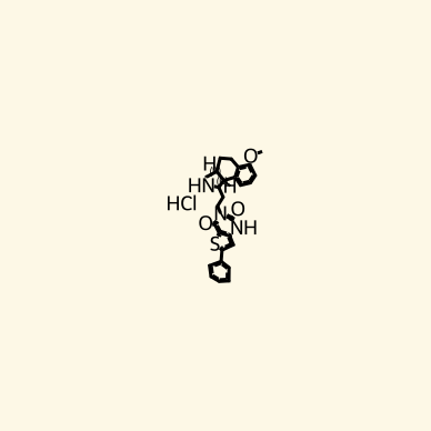 COc1cccc2c1CC[C@H]1CNC(CCn3c(=O)[nH]c4cc(-c5ccccc5)sc4c3=O)[C@@H]21.Cl